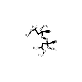 COC(C)CC(C#N)(N=NC(C#N)(CC(C)OC)OC)OC